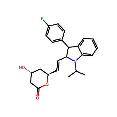 CC(C)N1c2ccccc2C(c2ccc(F)cc2)C1/C=C/[C@@H]1C[C@@H](O)CC(=O)O1